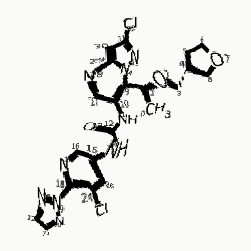 CC(OC[C@@H]1CCOC1)c1c(NC(=O)Nc2cnc(-n3nccn3)c(Cl)c2)cnc2cc(Cl)nn12